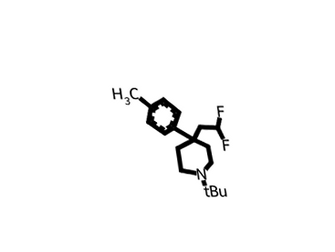 Cc1ccc(C2(CC(F)F)CCN(C(C)(C)C)CC2)cc1